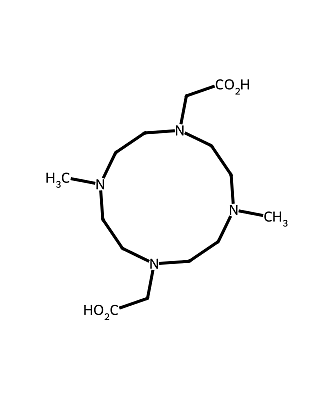 CN1CCN(CC(=O)O)CCN(C)CCN(CC(=O)O)CC1